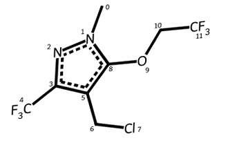 Cn1nc(C(F)(F)F)c(CCl)c1OCC(F)(F)F